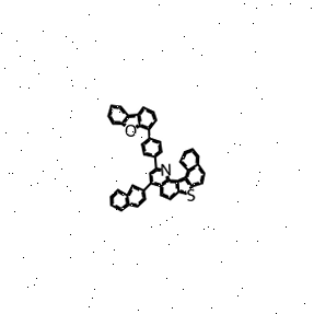 c1ccc2cc(-c3cc(-c4ccc(-c5cccc6c5oc5ccccc56)cc4)nc4c3ccc3sc5ccc6ccccc6c5c34)ccc2c1